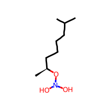 CC(C)CCCC[C@H](C)ON(O)O